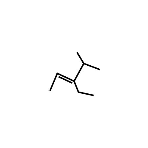 [CH2]/C=C(\CC)C(C)C